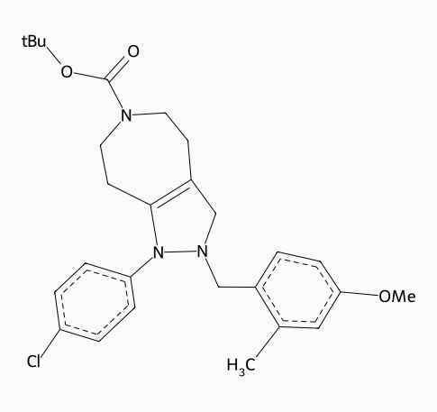 COc1ccc(CN2CC3=C(CCN(C(=O)OC(C)(C)C)CC3)N2c2ccc(Cl)cc2)c(C)c1